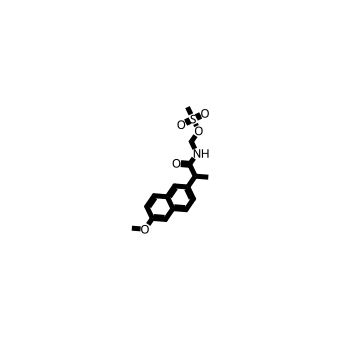 COc1ccc2cc(C(C)C(=O)NCOS(C)(=O)=O)ccc2c1